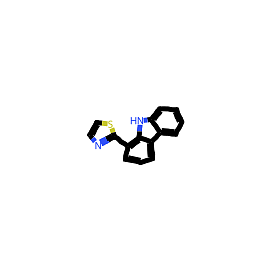 c1ccc2c(c1)[nH]c1c(-c3nccs3)cccc12